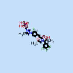 Cc1cn(-c2ccc(/C=C3\O[C@@H](C)CN([C@H](c4cc(F)c(F)c(F)c4)[C@@H](C)O)C3=O)cc2F)c[n+]1COP(=O)(O)O